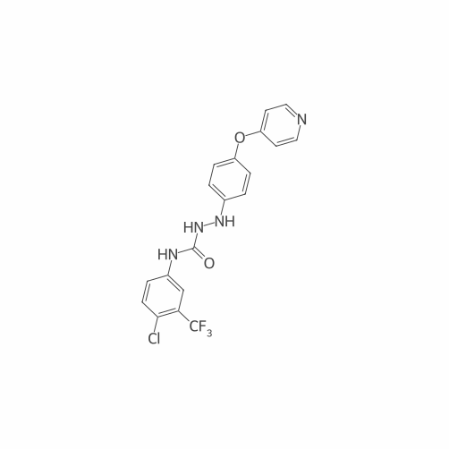 O=C(NNc1ccc(Oc2ccncc2)cc1)Nc1ccc(Cl)c(C(F)(F)F)c1